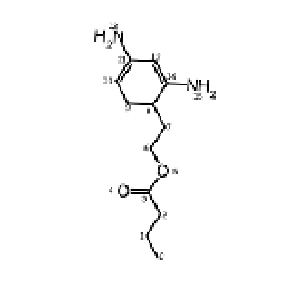 CCCC(=O)OCCC1CC=C(N)C=C1N